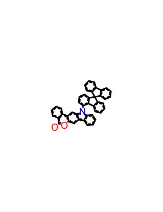 O=c1oc2cc3c4ccccc4n(-c4cccc5c4-c4ccccc4C54c5ccccc5-c5ccccc54)c3cc2c2ccccc12